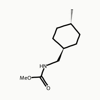 COC(=O)NC[C@H]1CC[C@H](C)CC1